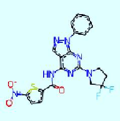 O=C(Nc1nc(N2CCC(F)(F)C2)nc2c1cnn2-c1ccccc1)c1ccc([N+](=O)[O-])s1